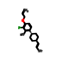 C=CCOc1ccc([C@H]2CC[C@H](C=CCCC)CC2)c(CCC)c1F